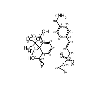 CC(C)(C)C1(C)C(C(=O)O)=CC=CC1C(=O)O.NCc1ccc(C=CCS(=O)(=O)N2CC2)cc1